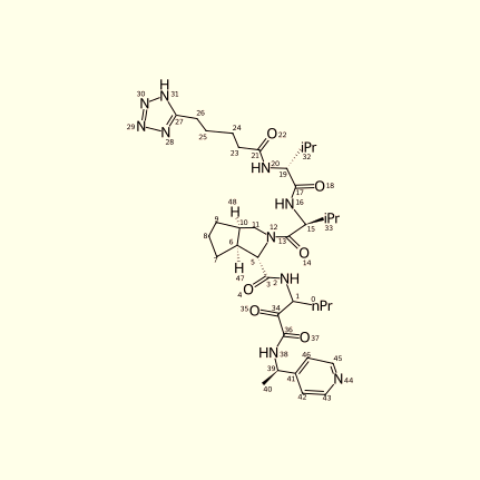 CCCC(NC(=O)[C@@H]1[C@H]2CCC[C@H]2CN1C(=O)[C@@H](NC(=O)[C@H](NC(=O)CCCCc1nnn[nH]1)C(C)C)C(C)C)C(=O)C(=O)N[C@H](C)c1ccncc1